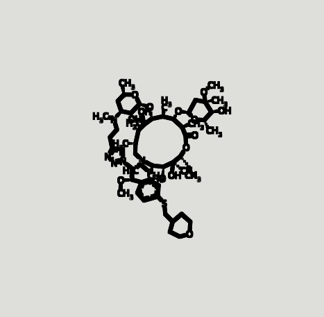 CC[C@H]1OC(=O)[C@H](C)[C@@H](O[C@H]2C[C@@](C)(OC)[C@@H](O)[C@H](C)O2)[C@H](C)[C@@H](O[C@@H]2O[C@H](C)C[C@H](N(C)CCc3cn([C@H](CF)[C@H](OC)c4ccc(SCC5CCOCC5)cc4)nn3)[C@H]2O)[C@](C)(O)C[C@@H](C)CN(C)[C@H](C)[C@@H](O)[C@]1(C)O